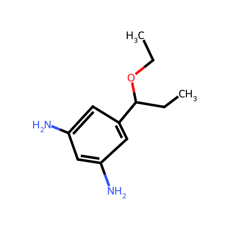 CCOC(CC)c1cc(N)cc(N)c1